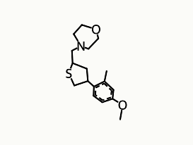 COc1ccc(C2CSC(CN3CCOCC3)C2)c(C)c1